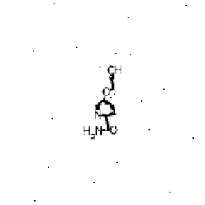 C#CCOc1ccc(C(N)=O)nc1